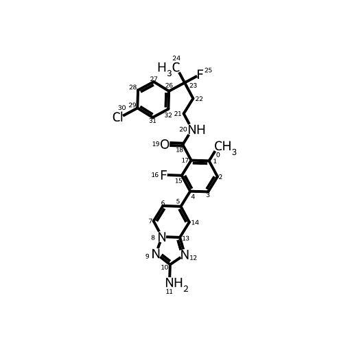 Cc1ccc(-c2ccn3nc(N)nc3c2)c(F)c1C(=O)NCCC(C)(F)c1ccc(Cl)cc1